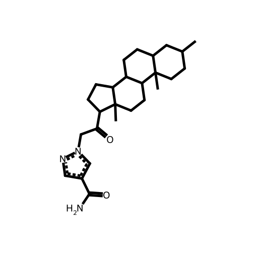 CC1CCC2(C)C(CCC3C2CCC2(C)C(C(=O)Cn4cc(C(N)=O)cn4)CCC32)C1